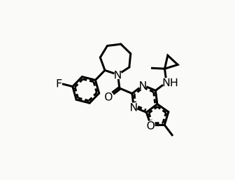 Cc1cc2c(NC3(C)CC3)nc(C(=O)N3CCCCCC3c3cccc(F)c3)nc2o1